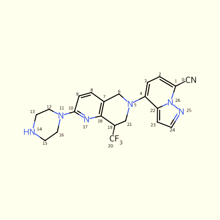 N#Cc1ccc(N2Cc3ccc(N4CCNCC4)nc3C(C(F)(F)F)C2)c2ccnn12